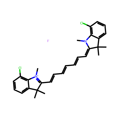 CN1C(=CC=CC=CC=CC2=[N+](C)c3c(Cl)cccc3C2(C)C)C(C)(C)c2cccc(Cl)c21.[I-]